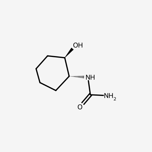 NC(=O)N[C@@H]1CCCC[C@H]1O